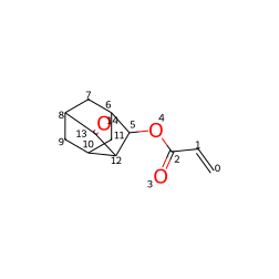 C=CC(=O)OC1C2CC3CC(C2)C1C3=O